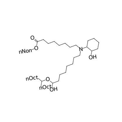 CCCCCCCCCOC(=O)CCCCCCCN(CCCCCCCC(O)OC(CCCCCCCC)CCCCCCCC)C1CCCCC1O